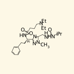 CCN(CC)CCCS(=O)(=O)N[C@H](CCc1ccccc1)c1nc(CNC(=O)NC(C)C)n(C)n1